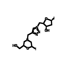 OCC1CN(Cc2cn(CC3O[C@@H](I)C[C@H]3O)nn2)CC(I)O1